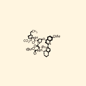 C=CC1=CCC(NC(=O)[C@@H]2C[C@@H](Oc3cc(-c4ccc5c(n4)CCCC5)nc4cc(OC)ccc34)CN2C(=O)[C@@H](NC(=O)OC(C)(C)C)C(C)C)(C(=O)O)C1